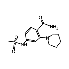 CS(=O)(=O)Nc1ccc(C(N)=O)c(N2CCCCC2)c1